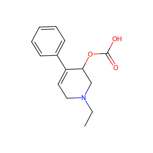 CCN1CC=C(c2ccccc2)C(OC(=O)O)C1